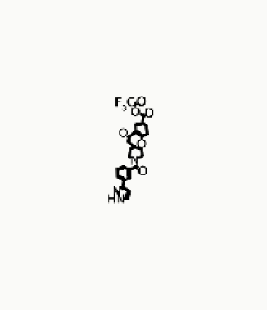 O=C(OC(=O)C(F)(F)F)c1ccc2c(c1)C(=O)CC1(CCN(C(=O)c3cccc(-c4cc[nH]n4)c3)CC1)O2